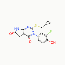 O=C1Cc2c(nc(SCC3CC3)n(-c3ccc(O)c(F)c3)c2=O)N1